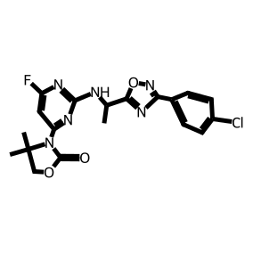 CC(Nc1nc(F)cc(N2C(=O)OCC2(C)C)n1)c1nc(-c2ccc(Cl)cc2)no1